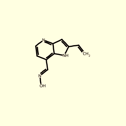 C=Cc1cc2nccc(C=NO)c2[nH]1